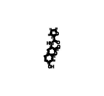 O=C(Nc1cc2ccc(O)cc2oc1=O)c1ccco1